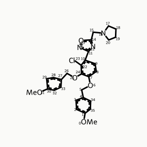 COc1ccc(COc2ccc(-c3noc(CN4CCCC4)n3)c(Cl)c2OCc2ccc(OC)cc2)cc1